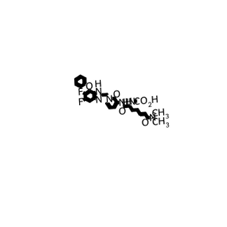 CN(C)C(=O)/C=C/CCC(NC(=O)O)C(=O)Nc1cccn(Cc2nc3cc(F)c(F)c(Oc4ccccc4)c3[nH]2)c1=O